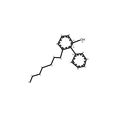 CCCCCCCc1cccc(O)c1-c1ccccc1